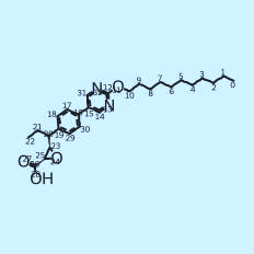 CCCCCCCCCCCOc1ncc(-c2ccc(C(CC)[C@H]3O[C@H]3C(=O)O)cc2)cn1